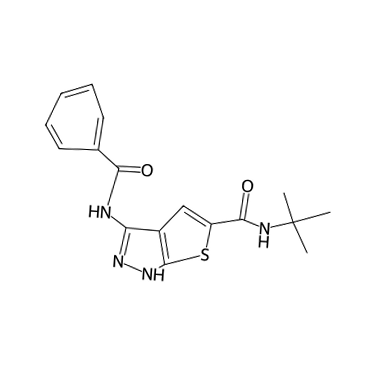 CC(C)(C)NC(=O)c1cc2c(NC(=O)c3ccccc3)n[nH]c2s1